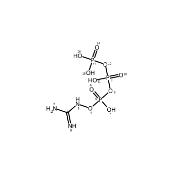 N=C(N)NOP(=O)(O)OP(=O)(O)OP(=O)(O)O